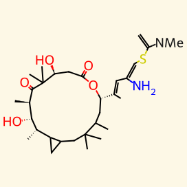 C=C(NC)S/C=C(N)/C=C(\C)[C@@H]1CC(C)C(C)(C)CC2CC2[C@H](C)[C@H](O)[C@@H](C)C(=O)C(C)(C)[C@@H](O)CC(=O)O1